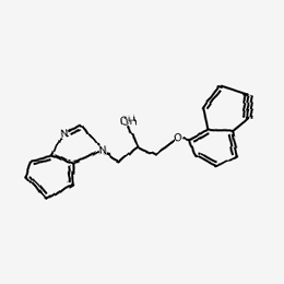 OC(COc1cccc2c#cccc12)Cn1cnc2ccccc21